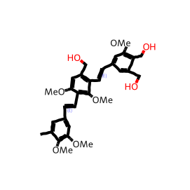 COc1cc(CO)c(/C=C/c2cc(CO)c(CO)c(OC)c2)c(OC)c1/C=C/c1cc(C)c(OC)c(OC)c1